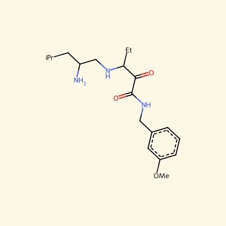 CCC(NCC(N)CC(C)C)C(=O)C(=O)NCc1cccc(OC)c1